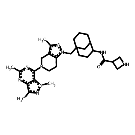 Cc1nc(N2CCc3c(c(C)nn3CC34CCCC(C3)C(NC(=O)C3CNC3)CC4)C2)c2c(n1)c(C)nn2C